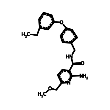 CCc1cccc(Oc2ccc(CNC(=O)c3ccc(COC)nc3N)cc2)c1